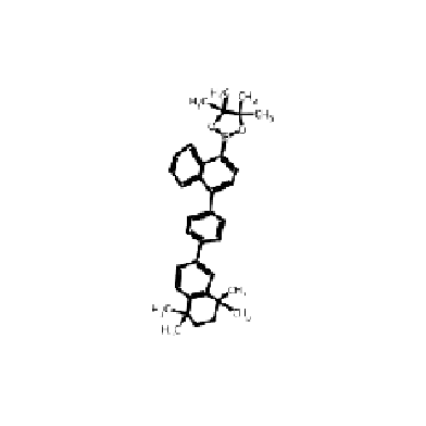 CC1(C)CCC(C)(C)c2cc(-c3ccc(-c4ccc(B5OC(C)(C)C(C)(C)O5)c5ccccc45)cc3)ccc21